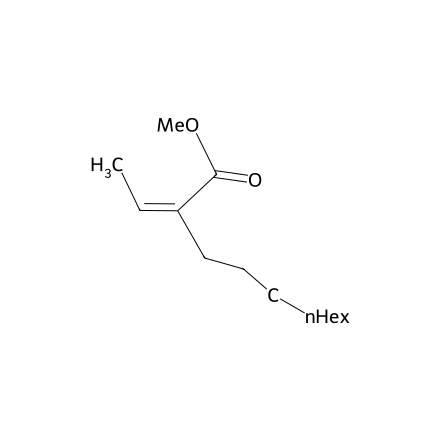 CC=C(CCCCCCCCC)C(=O)OC